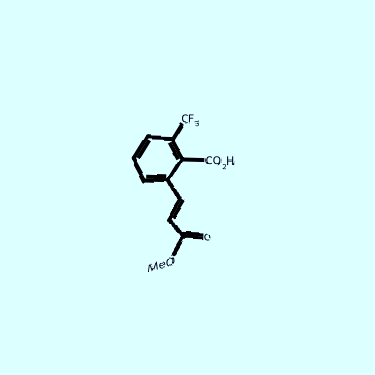 COC(=O)C=Cc1cccc(C(F)(F)F)c1C(=O)O